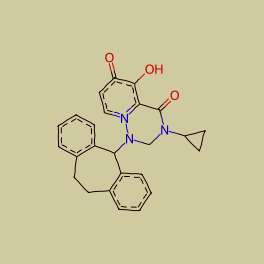 O=C1c2c(O)c(=O)ccn2N(C2c3ccccc3CCc3ccccc32)CN1C1CC1